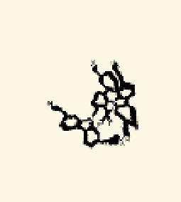 N#Cc1cccc(-c2ccc(-n3c4cc(C#N)ccc4c4ccc(C#N)cc43)c(C(F)(F)F)c2-n2c3cc(C#N)ccc3c3ccc(C#N)cc32)c1